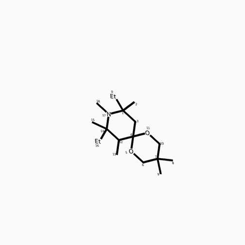 CCC1(C)CC2(OCC(C)(C)CO2)C(C)C(C)(CC)N1C